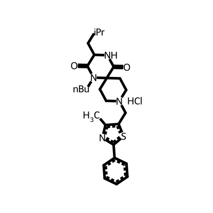 CCCCN1C(=O)C(CC(C)C)NC(=O)C12CCN(Cc1sc(-c3ccccc3)nc1C)CC2.Cl